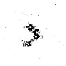 C[n+]1[nH]nnc1CNc1cc(Cl)c2ncc(C#N)c(Nc3ccc(F)c(Cl)c3)c2c1